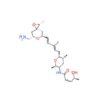 CC(/C=C/[C@@H]1C[C@]2(C[C@@H](CN)O1)O[C@@H]2C)=C\C[C@@H]1O[C@H](C)[C@H](NC(=O)/C=C\[C@H](C)O)C[C@@H]1C